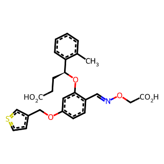 Cc1ccccc1[C@H](CCC(=O)O)Oc1cc(OCc2ccsc2)ccc1C=NOCC(=O)O